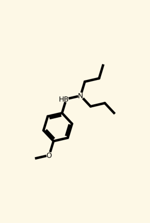 CCCN(Bc1ccc(OC)cc1)CCC